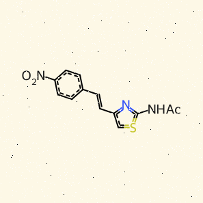 CC(=O)Nc1nc(C=Cc2ccc([N+](=O)[O-])cc2)cs1